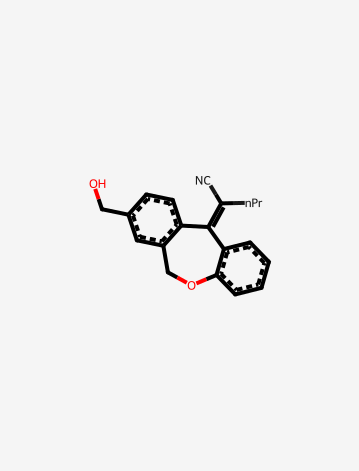 CCCC(C#N)=C1c2ccc(CO)cc2COc2ccccc21